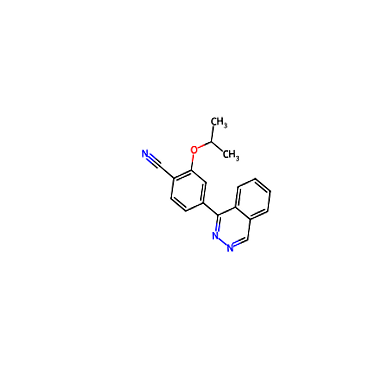 CC(C)Oc1cc(-c2nncc3ccccc23)ccc1C#N